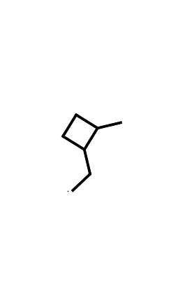 [CH2]CC1CCC1C